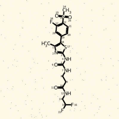 Cc1nc(NC(=O)NCCC(=O)NCC(F)F)sc1-c1ccc(S(C)(=O)=O)c(F)c1